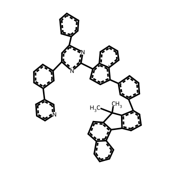 CC1(C)c2ccc3ccccc3c2-c2cccc(-c3cccc(-c4ccc(-c5nc(-c6ccccc6)cc(-c6cccc(-c7cccnc7)c6)n5)c5ccccc45)c3)c21